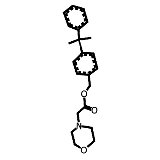 CC(C)(c1ccccc1)c1ccc(COC(=O)CN2CCOCC2)cc1